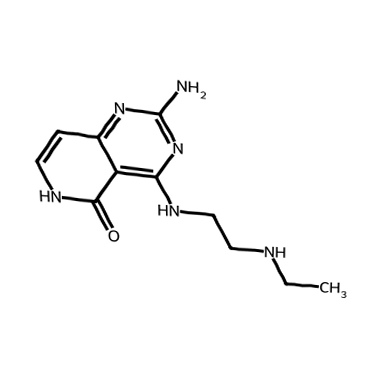 CCNCCNc1nc(N)nc2cc[nH]c(=O)c12